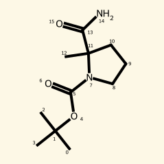 CC(C)(C)OC(=O)N1CCCC1(C)C(N)=O